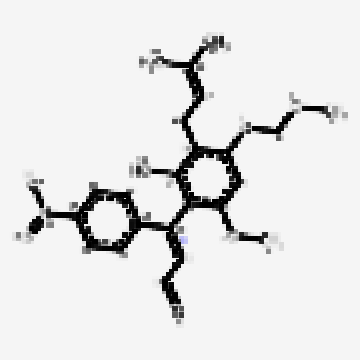 COCOc1cc(OC)c(/C(=C/C=O)c2ccc([N+](=O)[O-])cc2)c(O)c1CC=C(C)C